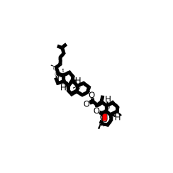 CC1=C(C(=O)OC2CC[C@@]3(C)C(=CC[C@H]4[C@@H]5CC[C@H]([C@H](C)CCCC(C)C)[C@@]5(C)CC[C@@H]43)C2)O[C@@H]2O[C@]3(C)CC[C@H]4[C@H](C)CC[C@@H]1[C@@]24OO3